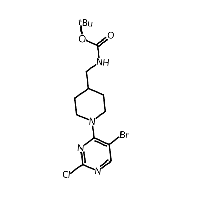 CC(C)(C)OC(=O)NCC1CCN(c2nc(Cl)ncc2Br)CC1